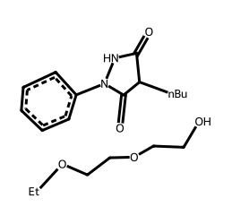 CCCCC1C(=O)NN(c2ccccc2)C1=O.CCOCCOCCO